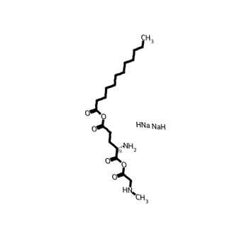 CCCCCCCCCCCC(=O)OC(=O)CC[C@H](N)C(=O)OC(=O)CNC.[NaH].[NaH]